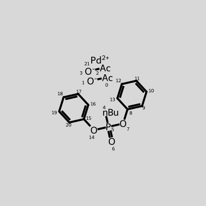 CC(=O)[O-].CC(=O)[O-].CCCCP(=O)(Oc1ccccc1)Oc1ccccc1.[Pd+2]